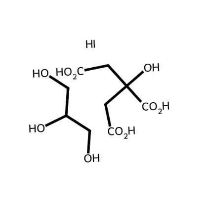 I.O=C(O)CC(O)(CC(=O)O)C(=O)O.OCC(O)CO